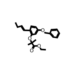 CC/C=C/c1ccc(OCc2ccccc2)cc1OC(C)(C)C(=O)OCC